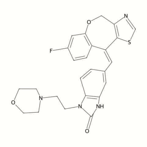 O=c1[nH]c2cc(/C=C3\c4ccc(F)cc4OCc4ncsc43)ccc2n1CCN1CCOCC1